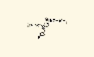 CCOCCOCc1cn(Cc2ccc(F)cc2)c2cnc(C(=O)N(C)O)cc12